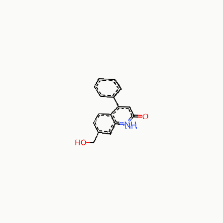 O=c1cc(-c2ccccc2)c2ccc(CO)cc2[nH]1